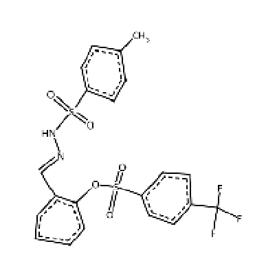 Cc1ccc(S(=O)(=O)N/N=C/c2ccccc2OS(=O)(=O)c2ccc(C(F)(F)F)cc2)cc1